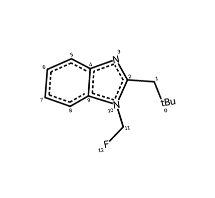 CC(C)(C)Cc1nc2ccccc2n1CF